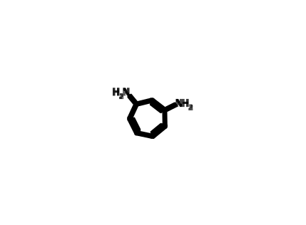 NC1=CC(N)C=CC=C1